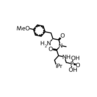 COc1ccc(C[C@H](N)C(=O)N(C)C(=O)C(CC(C)C)NCP(=O)(O)O)cc1